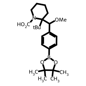 COC(c1ccc(B2OC(C)(C)C(C)(C)O2)cc1)C1(C(C)(C)C)CCCCN1C(=O)O